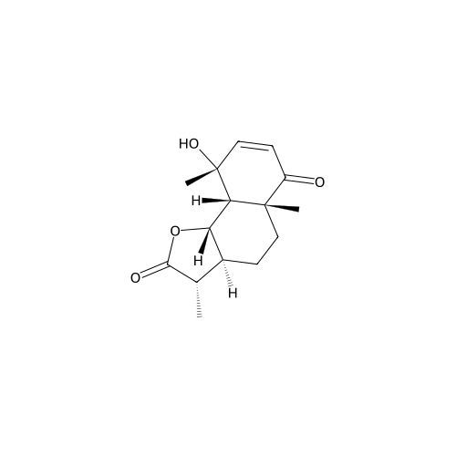 C[C@@H]1C(=O)O[C@H]2[C@H]1CC[C@@]1(C)C(=O)C=C[C@@](C)(O)[C@@H]21